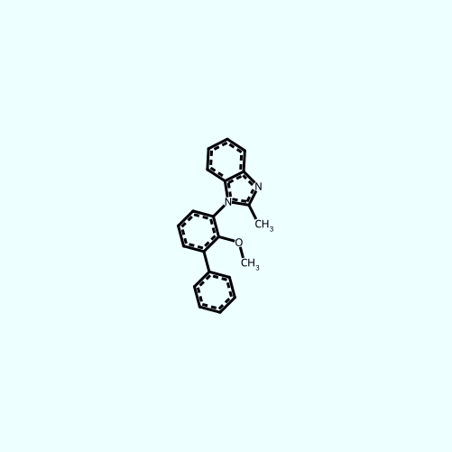 COc1c(-c2ccccc2)cccc1-n1c(C)nc2ccccc21